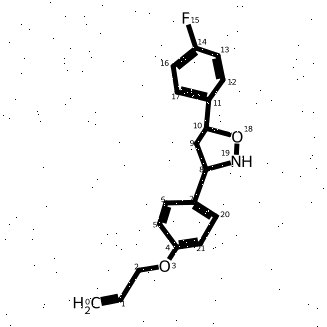 C=CCOc1ccc(C2CC(c3ccc(F)cc3)ON2)cc1